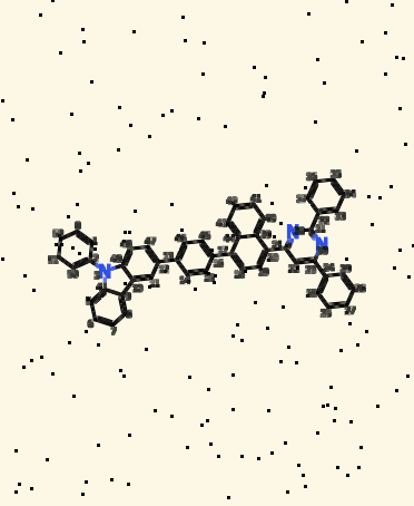 C1=CC(n2c3ccccc3c3cc(-c4ccc(-c5ccc(-c6cc(-c7ccccc7)nc(-c7ccccc7)n6)c6ccccc56)cc4)ccc32)=CCC1